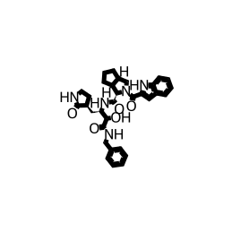 O=C(NCc1ccccc1)C(O)[C@H](C[C@@H]1CCNC1=O)NC(=O)[C@@H]1[C@H]2CCC[C@H]2CN1C(=O)c1cc2ccccc2[nH]1